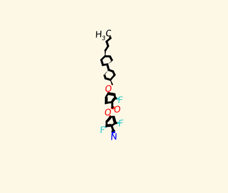 CCCCC[C@H]1CC[C@H]([C@H]2CC[C@H](COc3ccc(C(=O)Oc4cc(F)c(C#N)c(F)c4)c(F)c3)CC2)CC1